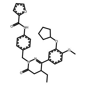 CCC1CC(=O)N(Cc2ccc(NC(=O)c3ccco3)cc2)N=C1c1ccc(OC)c(OC2CCCC2)c1